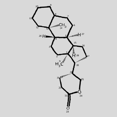 C[C@]12CC[C@H]3[C@@H](CCC4CCCC[C@@]43C)[C@H]1CC[C@@H]2[C@H]1CCC(=O)OC1